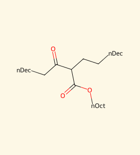 CCCCCCCCCCCCC(C(=O)CCCCCCCCCCC)C(=O)OCCCCCCCC